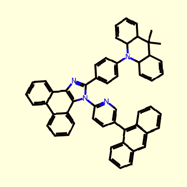 CC1(C)C2C=CC=CC2N(c2ccc(-c3nc4c5ccccc5c5ccccc5c4n3-c3ccc(-c4c5ccccc5cc5ccccc45)cn3)cc2)C2C=CC=CC21